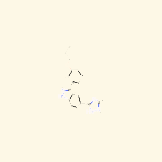 [CH2]CCOc1cccc(-c2n[nH]c3ccc(-c4ncn[nH]4)cc23)c1